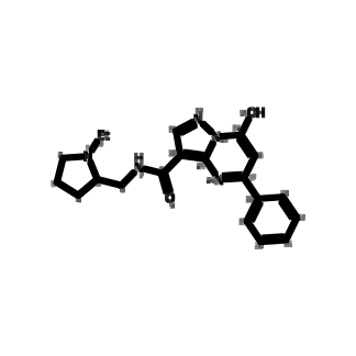 CCN1CCCC1CNC(=O)c1cnn2c(O)cc(-c3ccccc3)nc12